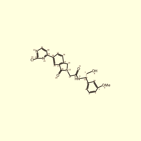 COc1cccc([C@@H](CO)NC(=O)CN2Cc3ccc(-c4ccnc(Cl)n4)cc3C2=O)c1